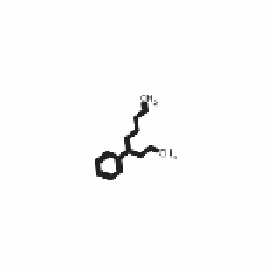 C=CCCCC(CCC)c1ccccc1